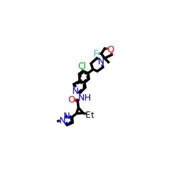 CCC1C(C(=O)Nc2cc3cc(C4CCN(C5(C)COCC5F)CC4)c(Cl)cc3cn2)C1c1ccn(C)n1